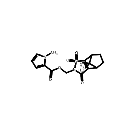 Cn1cccc1C(=O)OCN1C(=O)C2=C(C3CCC2C3(C)C)S1(=O)=O